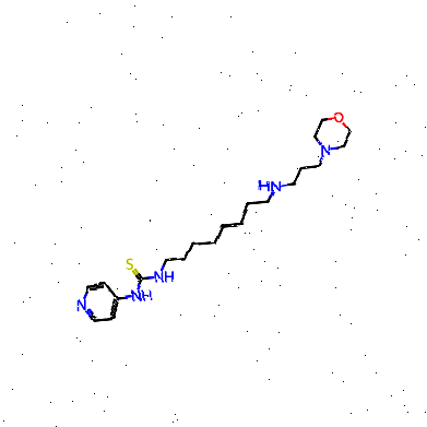 S=C(NCCCCCCCCNCCCN1CCOCC1)Nc1ccncc1